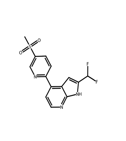 CS(=O)(=O)c1ccc(-c2ccnc3[nH]c(C(F)F)cc23)nc1